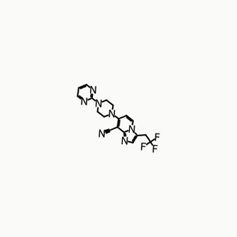 N#Cc1c(N2CCN(c3ncccn3)CC2)ccn2c(CC(F)(F)F)cnc12